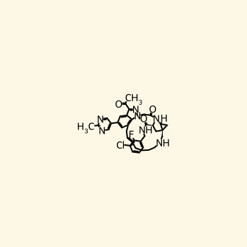 CC(=O)c1nn2c3c(cc(-c4cnc(C)nc4)cc13)C/C=C/CCCCNC[C@@]13C[C@@H](C(=O)NCc4cccc(Cl)c4F)N(C(=O)C2)[C@@H]1C3